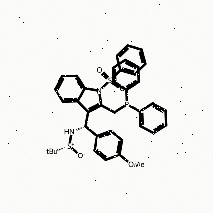 COc1ccc([C@H](N[S@+]([O-])C(C)(C)C)c2c(CP(c3ccccc3)c3ccccc3)n(S(=O)(=O)c3ccccc3)c3ccccc23)cc1